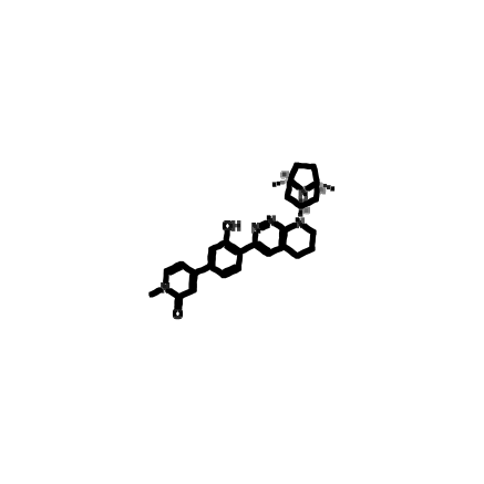 Cn1ccc(-c2ccc(-c3cc4c(nn3)N([C@H]3C[C@]5(C)CC[C@](C)(C3)N5)CCC4)c(O)c2)cc1=O